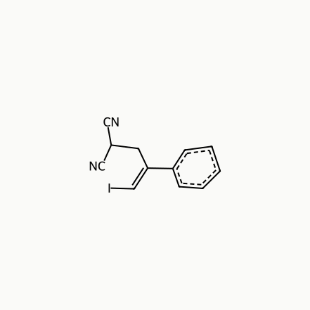 N#CC(C#N)CC(=CI)c1ccccc1